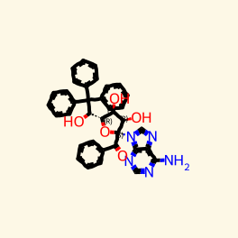 Nc1ncnc2c1ncn2[C@]1(C(=O)c2ccccc2)O[C@H](C(O)C(c2ccccc2)(c2ccccc2)c2ccccc2)[C@@H](O)[C@H]1O